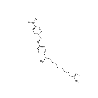 C=C(C)COCCCCCCN(C)c1ccc(/N=N/c2ccc([N+](=O)[O-])cc2)cc1